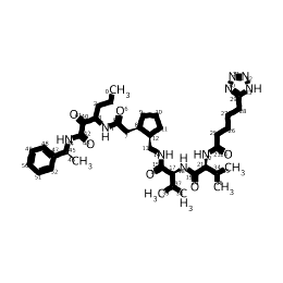 CCCC(NC(=O)C[C@H]1CCC[C@H]1CNC(=O)[C@@H](NC(=O)[C@@H](NC(=O)CCCCc1nnn[nH]1)C(C)C)C(C)C)C(=O)C(=O)N[C@H](C)c1ccccc1